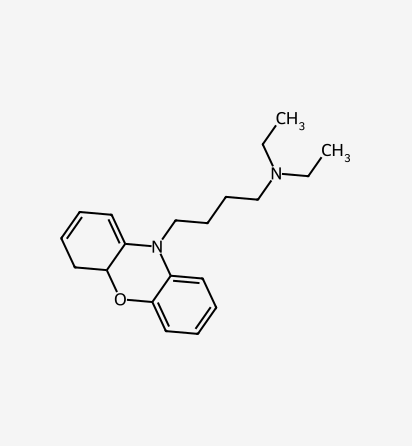 CCN(CC)CCCCN1C2=CC=CCC2Oc2ccccc21